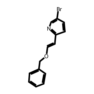 Brc1ccc(/C=C/OCc2ccccc2)nc1